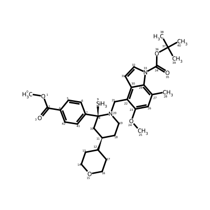 COC(=O)c1ccc([C@@]2([SiH3])C[C@H](C3CCOCC3)CCN2Cc2c(OC)cc(C)c3c2ccn3C(=O)OC(C)(C)C)cc1